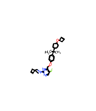 CC(C)(c1ccc(OCc2nc(N3CC4(CCC4)C3)ncc2F)cc1)c1ccc(OC2CCC2)cc1